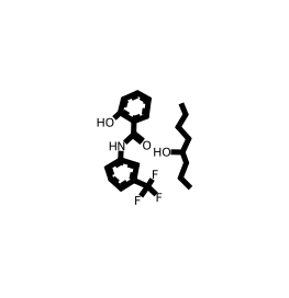 CCCCC(O)CCC.O=C(Nc1cccc(C(F)(F)F)c1)c1ccccc1O